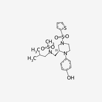 CC(C)CN(C[C@H]1CN(S(=O)(=O)c2cccs2)CCN1c1ccc(O)cc1)S(C)(=O)=O